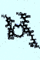 CCn1nc(C)cc1C(=O)Nc1nc2cc(C=O)cc3c2n1C/C=C/Cn1c(NC(=O)c2cc(C)nn2CC)nc2cc(C(=O)NCCC/C(=N/N)NN)cc(c21)OCCCO3